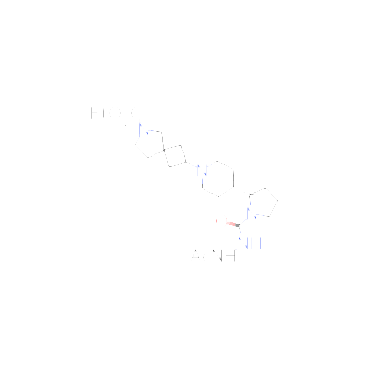 CCOC(=O)N1CCC2(CC(N3CCC([C@@H]4CCCN4C(=O)NNC(C)=O)CC3)C2)C1